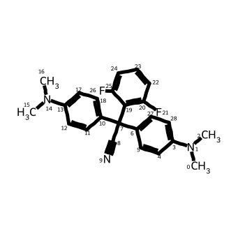 CN(C)c1ccc(C(C#N)(c2ccc(N(C)C)cc2)c2c(F)cccc2F)cc1